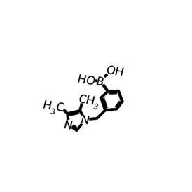 Cc1ncn(Cc2cccc(B(O)O)c2)c1C